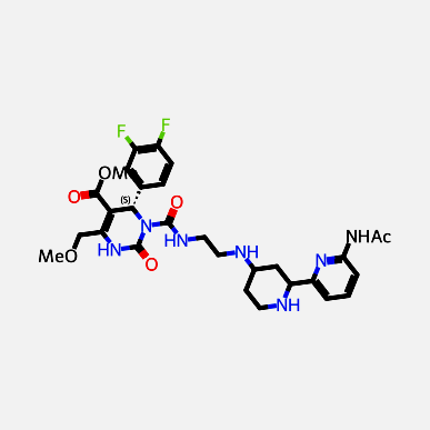 COCC1=C(C(=O)OC)[C@H](c2ccc(F)c(F)c2)N(C(=O)NCCNC2CCNC(c3cccc(NC(C)=O)n3)C2)C(=O)N1